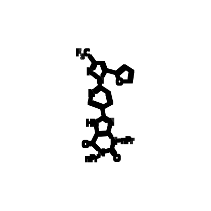 CCCn1c(=O)c2[nH]c(-c3ccc(-n4nc(C(F)(F)F)cc4-c4ccco4)nc3)nc2n(CCC)c1=O